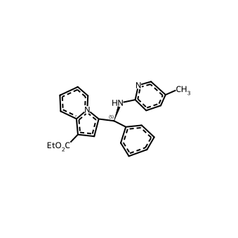 CCOC(=O)c1cc([C@@H](Nc2ccc(C)cn2)c2ccccc2)n2ccccc12